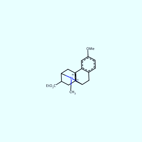 CCOC(=O)C1C[C@@]23CCCC[C@]24CC1N(C)C3Cc1ccc(OC)cc14